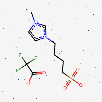 C[n+]1ccn(CCCCS(=O)(=O)O)c1.O=C([O-])C(F)(F)F